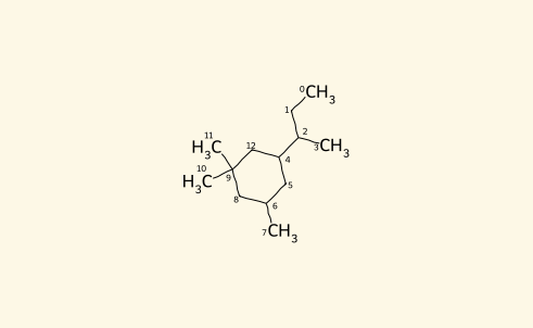 CCC(C)C1CC(C)CC(C)(C)C1